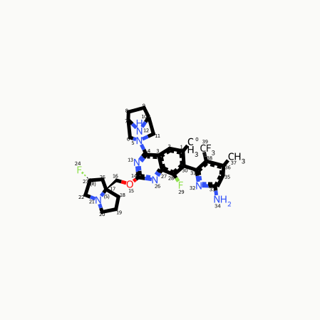 Cc1cc2c(N3CC4CCC(C3)N4)nc(OC[C@@]34CCCN3C[C@H](F)C4)nc2c(F)c1-c1nc(N)cc(C)c1C(F)(F)F